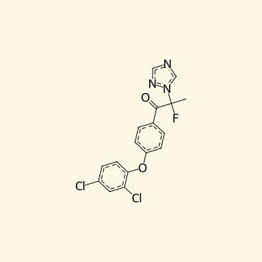 CC(F)(C(=O)c1ccc(Oc2ccc(Cl)cc2Cl)cc1)n1cncn1